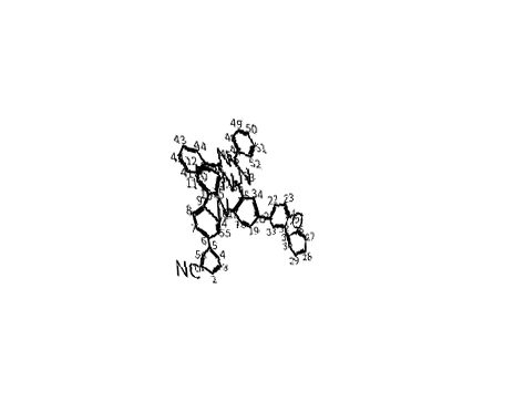 N#Cc1cccc(-c2ccc3c4ccccc4n(-c4ccc(-c5ccc6oc7ccccc7c6c5)cc4-c4nc(-c5ccccc5)nc(-c5ccccc5)n4)c3c2)c1